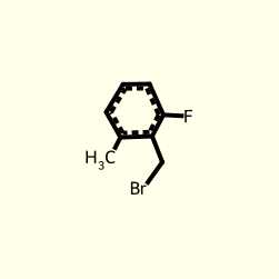 Cc1cccc(F)c1CBr